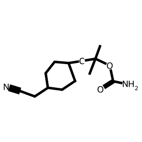 CC(C)(CC1CCC(CC#N)CC1)OC(N)=O